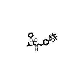 CC(C)C[C@@H](NCCc1ccc(B2OC(C)(C)C(C)(C)O2)cc1)C(=O)OC1CCCC1